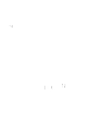 CN1C2CCC1CC(=Cc1cccc(Br)c1)C2